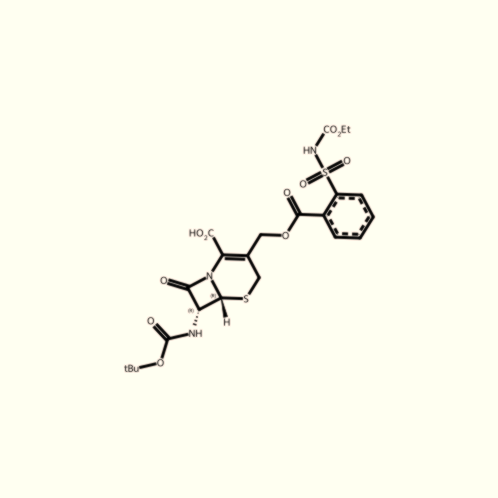 CCOC(=O)NS(=O)(=O)c1ccccc1C(=O)OCC1=C(C(=O)O)N2C(=O)[C@@H](NC(=O)OC(C)(C)C)[C@H]2SC1